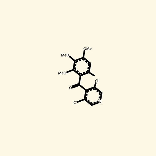 COc1cc(C)c(C(=O)c2c(Cl)cncc2Cl)c(OC)c1OC